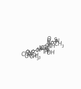 Cc1ncsc1-c1ccc([C@H](CN2CCOCC2)NC(=O)[C@@H]2C[C@@H](O)CN2C(=O)C(c2cc(N3CCC(c4ccc5c(c4)C(C)(C)c4nc(=O)c6c(Cl)cccc6n4-5)CC3)no2)C(C)C)cc1